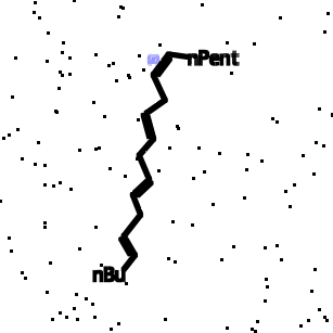 CCCCC=CCC=CCC=CC/C=C\CCCCC